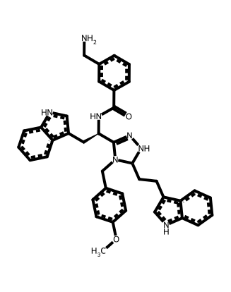 COc1ccc(CN2C([C@@H](Cc3c[nH]c4ccccc34)NC(=O)c3cccc(CN)c3)=NNC2CCc2c[nH]c3ccccc23)cc1